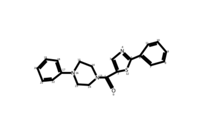 O=C(c1cnc(-c2ccccc2)s1)N1CCN(c2ccccc2)CC1